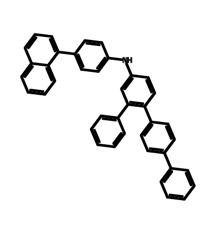 c1ccc(-c2ccc(-c3ccc(Nc4ccc(-c5cccc6ccccc56)cc4)cc3-c3ccccc3)cc2)cc1